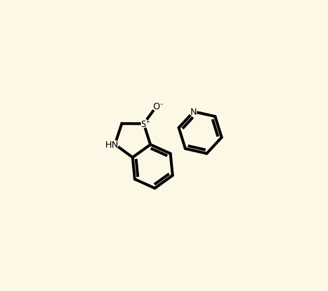 [O-][S+]1CNc2ccccc21.c1ccncc1